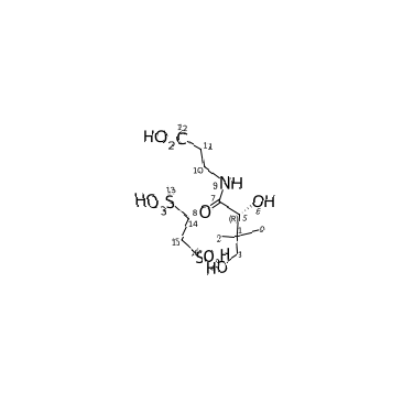 CC(C)(CO)[C@@H](O)C(=O)NCCC(=O)O.O=S(=O)(O)CCS(=O)(=O)O